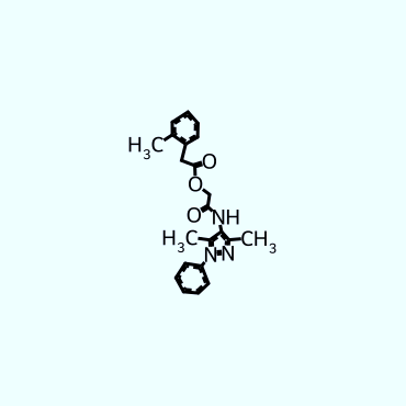 Cc1ccccc1CC(=O)OCC(=O)Nc1c(C)nn(-c2ccccc2)c1C